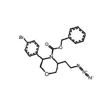 [N-]=[N+]=NCCC1COCC(c2ccc(Br)cc2)N1C(=O)OCc1ccccc1